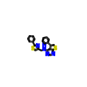 c1ccc(-c2nc(CNc3ncnc4scc(-c5ccccc5)c34)cs2)cc1